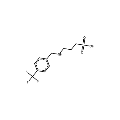 O=S(=O)(O)CCCNCc1ccc(C(F)(F)F)cc1